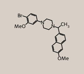 COc1ccc2cc(C(C)N3CCN(c4ccc(Br)c(OC)c4)CC3)ccc2c1